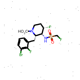 O=C(O)N1CC[C@H](F)[C@H](NS(=O)(=O)CF)[C@@H]1Cc1cccc(Br)c1F